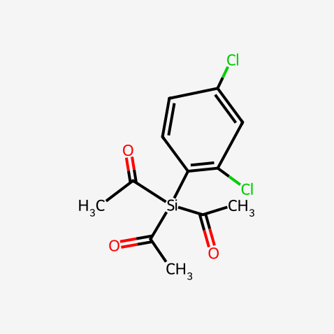 CC(=O)[Si](C(C)=O)(C(C)=O)c1ccc(Cl)cc1Cl